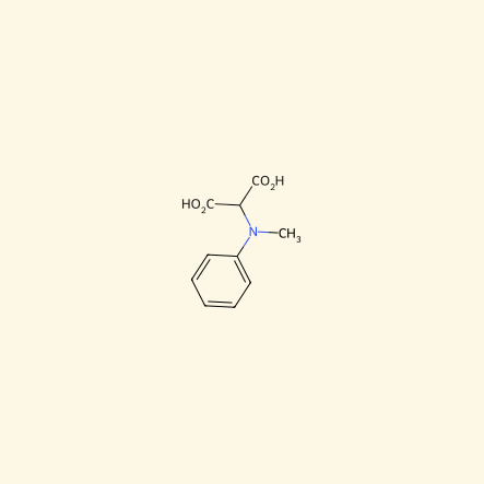 CN(c1ccccc1)C(C(=O)O)C(=O)O